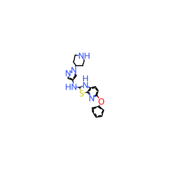 c1ccc(Oc2ccc3c(n2)SC(Nc2cnn(C4CCNCC4)c2)N3)cc1